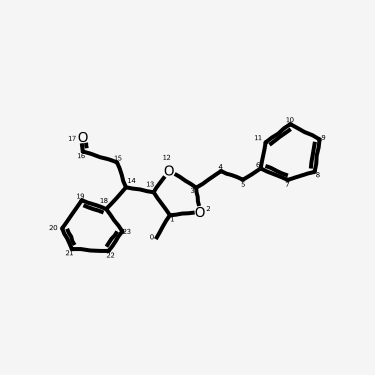 CC1OC(CCc2ccccc2)OC1C(CC=O)c1ccccc1